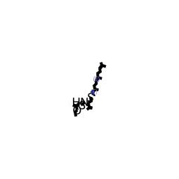 C=C(CSNC(CSC/C=C(\C)CC/C=C(\C)CCC=C(C)C)C(=C)C)OCC